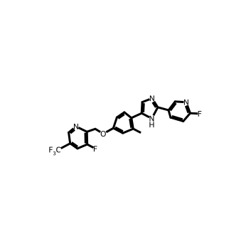 Cc1cc(OCc2ncc(C(F)(F)F)cc2F)ccc1-c1cnc(-c2ccc(F)nc2)[nH]1